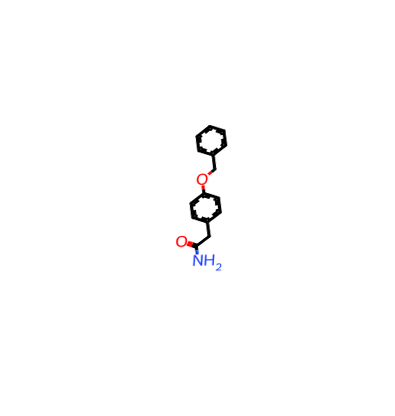 NC(=O)Cc1ccc(OCc2ccccc2)cc1